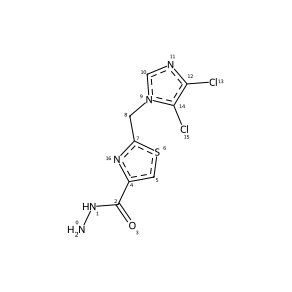 NNC(=O)c1csc(Cn2cnc(Cl)c2Cl)n1